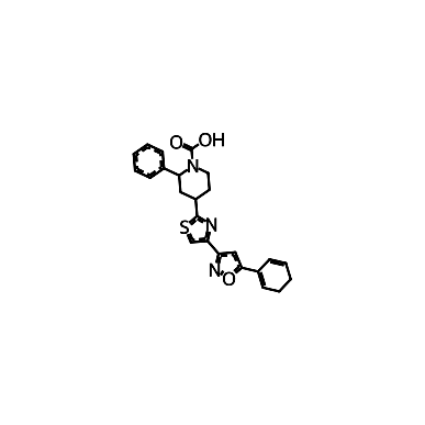 O=C(O)N1CCC(c2nc(-c3cc(C4=CCCC=C4)on3)cs2)CC1c1ccccc1